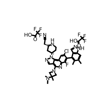 Cc1cc2[nH]ncc2c(-c2c(Cl)cc3c(nc(N4CC(C)(N(C)C)C4)c4cnn([C@H]5CCN[C@H](CC#N)C5)c43)c2F)c1C.O=C(O)C(F)(F)F.O=C(O)C(F)(F)F